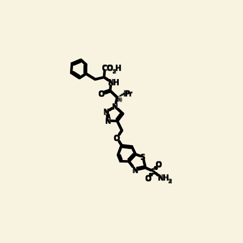 CC(C)[C@@H](C(=O)NC(Cc1ccccc1)C(=O)O)n1cc(COc2ccc3nc(S(N)(=O)=O)sc3c2)nn1